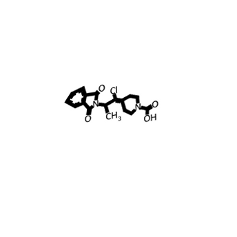 CC(C(Cl)=C1CCN(C(=O)O)CC1)N1C(=O)c2ccccc2C1=O